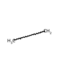 C=CCCC=CCCCCCCCCCCCCCCCCCCCCCCCC